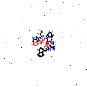 CC[C@H](C)[C@H](NC(=O)CC(O)C(Cc1ccccc1)NC(=O)[C@@H](NC(=O)Cc1cccc2ccccc12)C(C)C)C(=O)N[C@H](C(=O)O)C(C)C